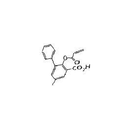 C=CC(=O)Oc1c(C(=O)O)cc(C)cc1-c1ccccc1